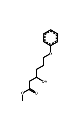 COC(=O)CC(O)CCCOc1ccccc1